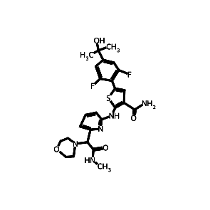 CNC(=O)C(c1cccc(Nc2sc(-c3c(F)cc(C(C)(C)O)cc3F)cc2C(N)=O)n1)N1CCOCC1